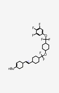 CCCCC1=CCC(/C=C/C2CCC(C(F)(F)OC3CCC(C(F)(F)Oc4cc(F)c(F)c(F)c4)CC3)CC2)CC1